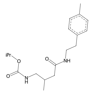 Cc1ccc(CCNC(=O)CC(C)CNC(=O)OC(C)C)cc1